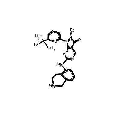 CCn1c(=O)c2cnc(Nc3cccc4c3CCNC4)nc2n1-c1cccc(C(C)(C)O)n1